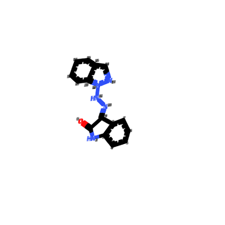 O=C1Nc2ccccc2C1=NNn1ncc2ccccc21